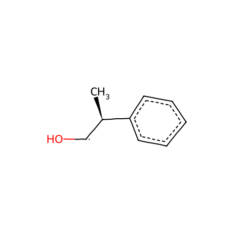 C[C@H]([CH]O)c1ccccc1